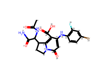 CC(=O)NC(C(N)=O)C1CCn2c1c(C(=O)O)c(Nc1ccc(Br)cc1F)cc2=O